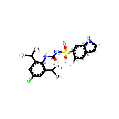 CC(C)c1cc(Cl)cc(C(C)C)c1NC(=O)NS(=O)(=O)c1cc2[nH]ccc2cc1F